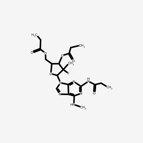 CCC(=O)Nc1nc(NC)c2ncn(C3OC(COC(=O)CC)C(OC(=O)CC)C3(C)F)c2n1